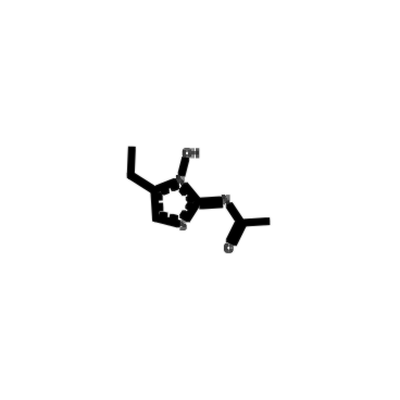 CCc1cs/c(=N\C(C)=O)n1O